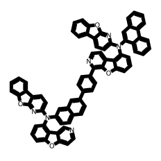 c1ccc2c(c1)cc(N(c1ccc3c(n1)oc1ccccc13)c1cccc3oc4c(-c5ccc(-c6ccc7ccc(N(c8ccc9c(n8)oc8ccccc89)c8cccc9oc%10ccncc%10c89)cc7c6)cc5)nccc4c13)c1ccccc12